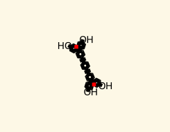 CC(C)(C1CCC(C(C)(C)C2CCC(c3ccc(O)cc3)(c3ccc(O)cc3)CC2)CC1)C1CCC(c2ccc(O)cc2)(c2ccc(O)cc2)CC1